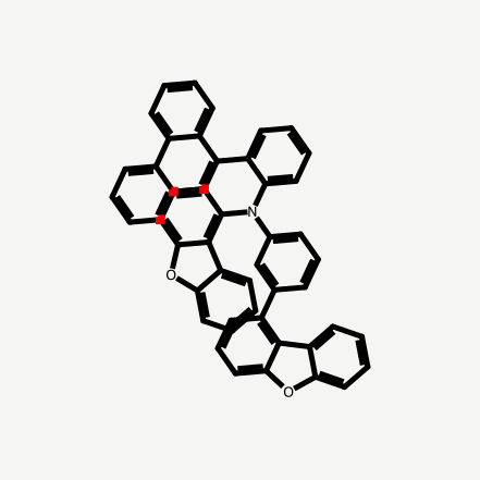 c1cc(-c2cccc3oc4ccccc4c23)cc(N(c2ccccc2-c2cc3ccccc3c3ccccc23)c2cccc3oc4ccccc4c23)c1